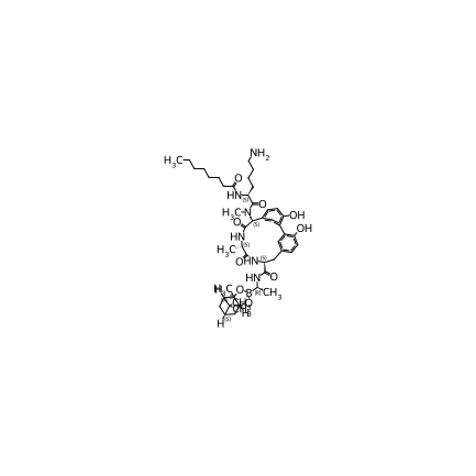 CCCCCCCC(=O)N[C@@H](CCCCN)C(=O)N(C)[C@@H]1C(=O)N[C@@H](C)C(=O)N[C@H](C(=O)N[C@@H](C)B2O[C@@H]3C[C@@H]4C[C@@H](C4(C)C)[C@]3(C)O2)Cc2ccc(O)c(c2)-c2cc1ccc2O